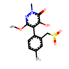 CCCOc1nn(C)c(=O)c(O)c1-c1ccc(C(F)(F)F)cc1C[SH](=O)=O